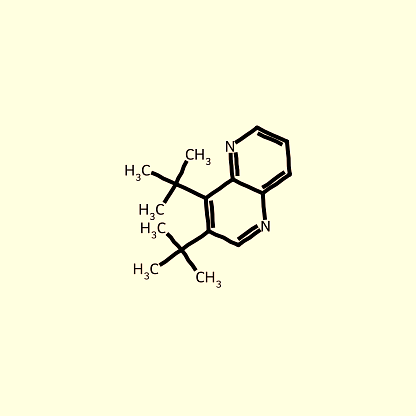 CC(C)(C)c1cnc2cccnc2c1C(C)(C)C